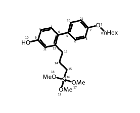 CCCCCCOc1ccc(-c2ccc(O)cc2CCC[Si](OC)(OC)OC)cc1